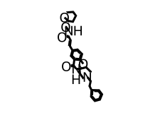 O=C(/C=C/c1ccc2c(c1)C(=O)NC1(CCN(CCc3ccccc3)CC1)O2)NOC1CCCCO1